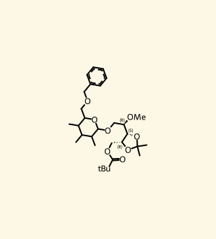 CO[C@H](COC1OC(COCc2ccccc2)C(C)C(C)C1C)[C@@H]1OC(C)(C)O[C@@H]1COC(=O)C(C)(C)C